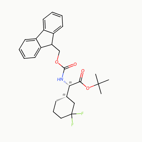 CC(C)(C)OC(=O)[C@@H](NC(=O)OCC1c2ccccc2-c2ccccc21)[C@H]1CCCC(F)(F)C1